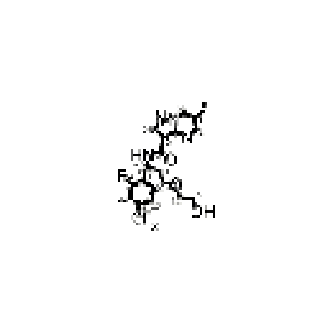 Cc1cnc2c(C(=O)N[C@@](C)(CCOCCO)c3ccc(C(F)(F)F)cc3F)cnn2c1